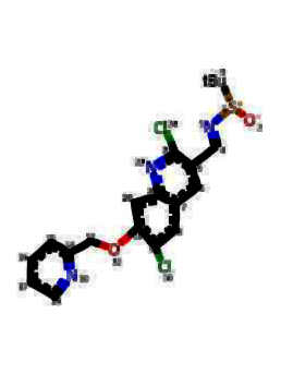 CC(C)(C)[S+]([O-])/N=C/c1cc2cc(Cl)c(OCc3ccccn3)cc2nc1Cl